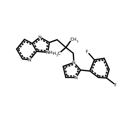 CC(C)(Cc1nc2cccnc2[nH]1)Cn1ccnc1-c1cc(F)ccc1F